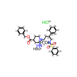 CCCCN[C@H]1C[C@@H](C(=O)OCc2ccccc2)CCN1CCC(CN(C)S(=O)(=O)c1ccccc1)c1ccccc1.Cl